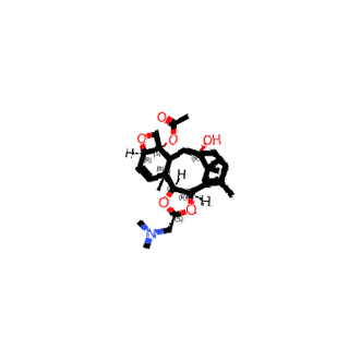 CC(=O)O[C@@]12CO[C@@H]1C=C[C@]1(C)C2C[C@]2(O)CCC(C)=C([C@H]3O[C@@H](CN(C)C)O[C@H]31)C2(C)C